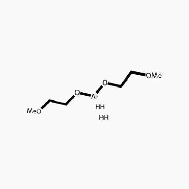 COCC[O][Al][O]CCOC.[HH].[HH]